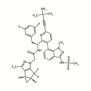 Cn1nc(NS(C)(=O)=O)c2cccc(-c3ccc(C#CC(C)(C)N)nc3[C@H](Cc3cc(F)cc(F)c3)NC(=O)Cn3nc(C(F)(F)F)c4c3C(F)(F)[C@@H]3C[C@H]43)c21